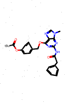 Cn1cnc2c(OCc3ccc(OC(=O)C(C)(C)C)cc3)nc(NC(=O)Cc3ccccc3)nc21